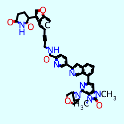 Cn1c(=O)n(C)c2c(N3C4COCC3C4)nc(-c3cccc4cc(-c5ccc(C(=O)NCC#Cc6ccc7occ(C8CCC(=O)NC8=O)c7c6)nc5)ncc34)cc21